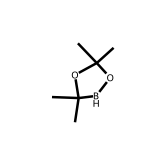 CC1(C)BOC(C)(C)O1